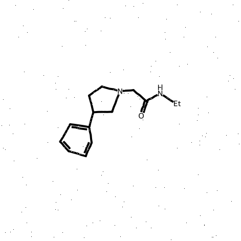 CCNC(=O)CN1CCC(c2ccccc2)C1